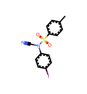 Cc1ccc(S(=O)(=O)N(C#N)c2ccc(I)cc2)cc1